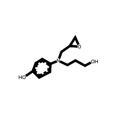 OCCCN(CC1CO1)c1ccc(O)cc1